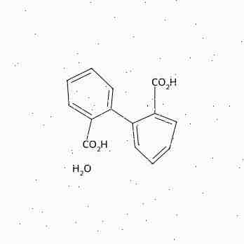 O.O=C(O)c1ccccc1-c1ccccc1C(=O)O